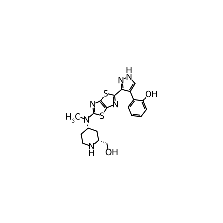 CN(c1nc2sc(-c3n[nH]cc3-c3ccccc3O)nc2s1)[C@H]1CCN[C@@H](CO)C1